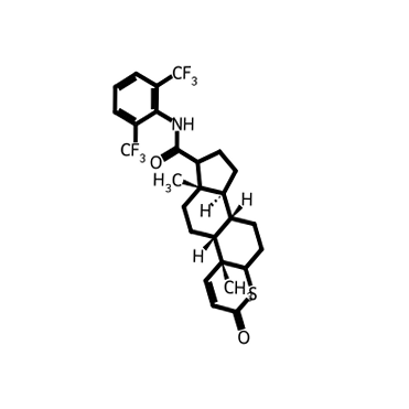 C[C@]12C=CC(=O)SC1CC[C@@H]1[C@H]2CC[C@]2(C)C(C(=O)Nc3c(C(F)(F)F)cccc3C(F)(F)F)CC[C@@H]12